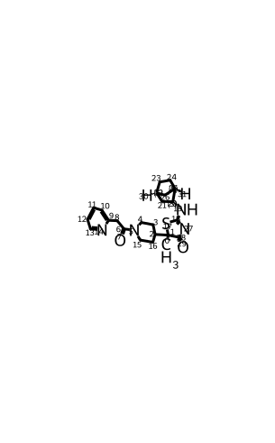 CC1(C2CCN(C(=O)Cc3ccccn3)CC2)SC(N[C@H]2C[C@H]3CC[C@H]2C3)=NC1=O